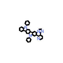 c1ccc(-n2c3ccccc3c3cc4c(cc32)c2cc3c(cc2n4-c2ccccc2)c2ncccc2c2nccn32)cc1